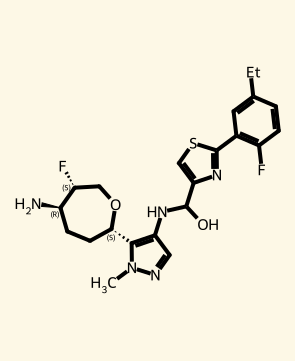 CCc1ccc(F)c(-c2nc(C(O)Nc3cnn(C)c3[C@@H]3CC[C@@H](N)[C@H](F)CO3)cs2)c1